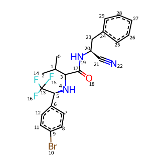 CC(C)C(N[C@@H](c1ccc(Br)cc1)C(F)(F)F)C(=O)N[C@H](C#N)Cc1ccccc1